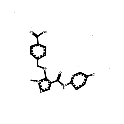 Cn1ncc(C(=O)Nc2ccc(Cl)cn2)c1NCc1ccc(C(=N)N)cc1